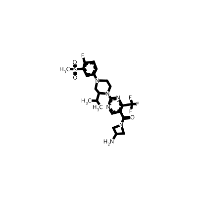 CC(C)C1CN(c2ccc(F)c(S(C)(=O)=O)c2)CCN1c1ncc(C(=O)N2CC(N)C2)c(C(F)(F)F)n1